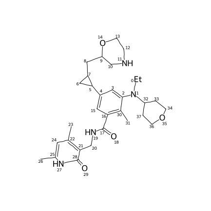 CCN(c1cc(C2CC2CC2CNCCO2)cc(C(=O)NCc2c(C)cc(C)[nH]c2=O)c1C)C1CCOCC1